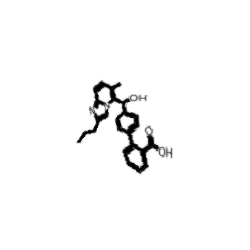 CCCc1cn2c(C(O)c3ccc(-c4ccccc4C(=O)O)cc3)c(C)ccc2n1